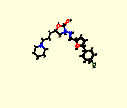 O=C1OC(CCCN2CCCCC2)CN1N=Cc1ccc(-c2ccc(Cl)cc2)o1